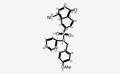 COc1ccc(CN(c2ccncn2)S(=O)(=O)c2ccc3c(Cl)ncc(C#N)c3c2)cc1